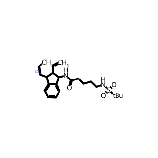 C=CC1C(/C=C\C)c2ccccc2C1NC(=O)CCCCNS(=O)(=O)C(C)(C)C